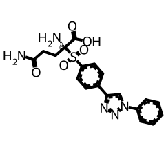 NC(=O)CC[C@@](N)(C(=O)O)S(=O)(=O)c1ccc(-c2cn(-c3ccccc3)nn2)cc1